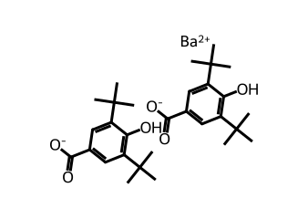 CC(C)(C)c1cc(C(=O)[O-])cc(C(C)(C)C)c1O.CC(C)(C)c1cc(C(=O)[O-])cc(C(C)(C)C)c1O.[Ba+2]